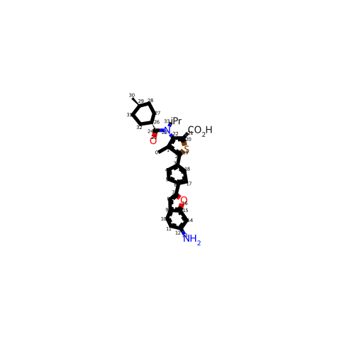 Cc1c(-c2ccc(-c3cc4ccc(N)cc4o3)cc2)sc(C(=O)O)c1N(C(=O)[C@H]1CC[C@H](C)CC1)C(C)C